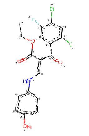 CCOC(=O)C(=CNc1ccc(O)cc1)C(=O)c1cc(F)c(Cl)cc1Cl